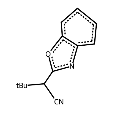 CC(C)(C)C(C#N)c1nc2ccccc2o1